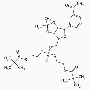 CC1(C)OC2C(COP(=O)(OCCSC(=O)C(C)(C)C)OCCSC(=O)C(C)(C)C)OC(N3C=CC=C(C(N)=O)C3)C2O1